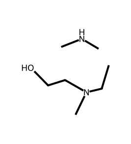 CCN(C)CCO.CNC